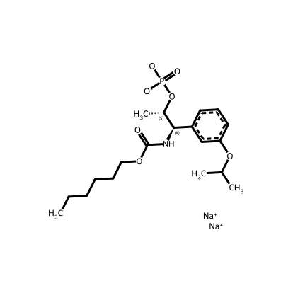 CCCCCCOC(=O)N[C@H](c1cccc(OC(C)C)c1)[C@H](C)OP(=O)([O-])[O-].[Na+].[Na+]